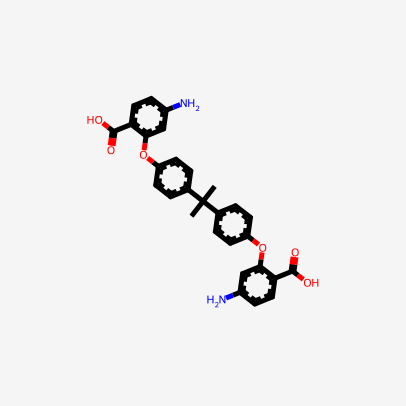 CC(C)(c1ccc(Oc2cc(N)ccc2C(=O)O)cc1)c1ccc(Oc2cc(N)ccc2C(=O)O)cc1